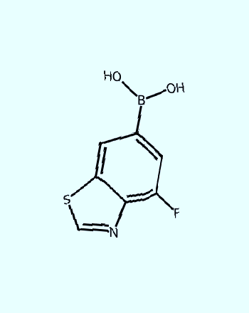 OB(O)c1cc(F)c2ncsc2c1